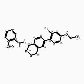 O=Cc1ccncc1NC[C@H]1NCCc2cc(-c3ccc(OCC(F)(F)F)cc3F)ccc21